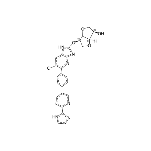 O[C@@H]1COC2[C@H](Oc3nc4nc(-c5ccc(-c6ccc(-c7ncc[nH]7)nc6)cc5)c(Cl)cc4[nH]3)CO[C@@H]21